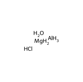 Cl.O.[AlH3].[MgH2]